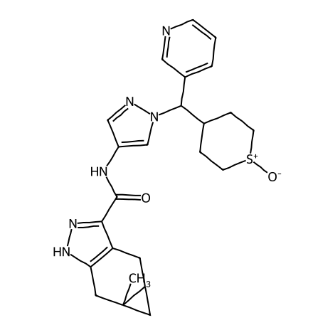 CC12Cc3[nH]nc(C(=O)Nc4cnn(C(c5cccnc5)C5CC[S+]([O-])CC5)c4)c3CC1C2